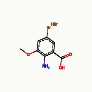 Br.COc1cc(Br)cc(C(=O)O)c1N